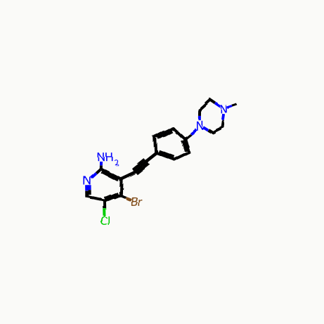 CN1CCN(c2ccc(C#Cc3c(N)ncc(Cl)c3Br)cc2)CC1